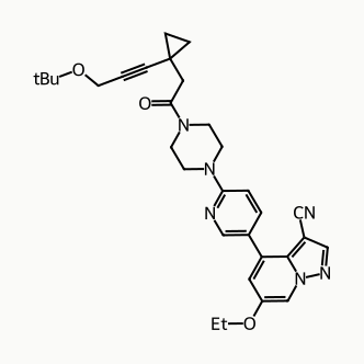 CCOc1cc(-c2ccc(N3CCN(C(=O)CC4(C#CCOC(C)(C)C)CC4)CC3)nc2)c2c(C#N)cnn2c1